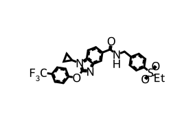 CCS(=O)(=O)c1ccc(CNC(=O)c2ccc3c(c2)nc(Oc2ccc(C(F)(F)F)cc2)n3C2CC2)cc1